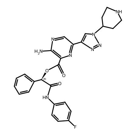 Nc1ncc(-c2cn(C3CCNCC3)nn2)nc1C(=O)O[C@@H](C(=O)Nc1ccc(F)cc1)c1ccccc1